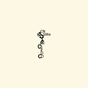 CSc1cc(-c2cnn(C3CCCN(CCOC4CCCCO4)C3)c2)cn2ncc(C#N)c12